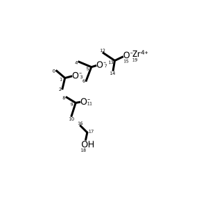 CC(C)[O-].CC(C)[O-].CC(C)[O-].CC(C)[O-].CCO.[Zr+4]